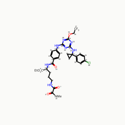 CCOC(=O)[C@H](CCCNC(=O)C(=O)NC)NC(=O)c1ccc(Nc2nc(NC3(c4ccc(Cl)cc4)CC3)nc(OCC(F)(F)F)n2)cc1